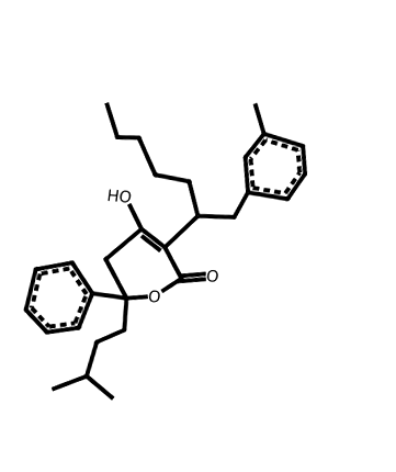 CCCCCC(Cc1cccc(C)c1)C1=C(O)CC(CCC(C)C)(c2ccccc2)OC1=O